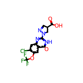 O=C(O)C1C=NN(c2nc3cc(Cl)c(OC(F)(F)F)cc3c(=O)[nH]2)C1